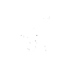 C=CC1C2C=CC(CN)(O2)C1C(=O)CN(C)CCN